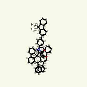 CC1(C)c2ccccc2-c2ccc(-c3ccc(N(c4ccccc4C4(c5ccccc5)c5ccccc5C5(c6ccccc6)c6ccccc6-c6cccc4c65)c4cccc5ccccc45)cc3)cc21